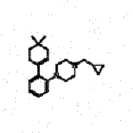 CC1(C)CC=C(c2ccccc2N2CCN(CC3CC3)CC2)CC1